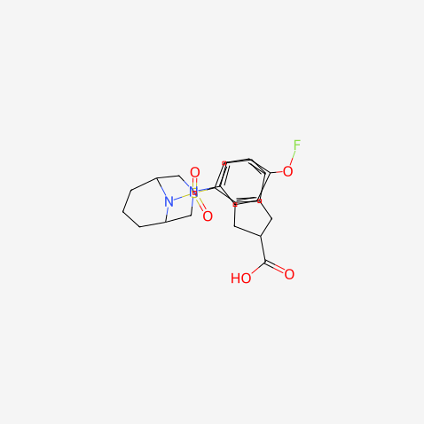 O=C(O)C1Cc2cccc(S(=O)(=O)N3C4CCCC3CN(c3ccc(OF)cc3)C4)c2C1